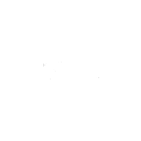 [O]CCCCS(=O)(=O)O